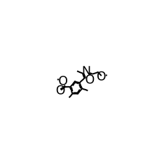 COCc1nc(C)c(-c2cc(C(=O)OC)c(C)cc2C)o1